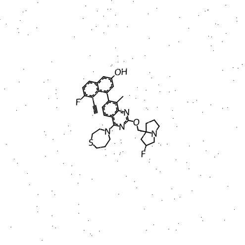 C#Cc1c(F)ccc2cc(O)cc(-c3ccc4c(N5CCCSCC5)nc(OCC56CCCN5CC(F)C6)nc4c3C)c12